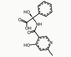 Cc1cc(O)c(C(=O)N[C@](O)(C(=O)O)c2ccccc2)cn1